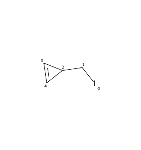 ICC1C=C1